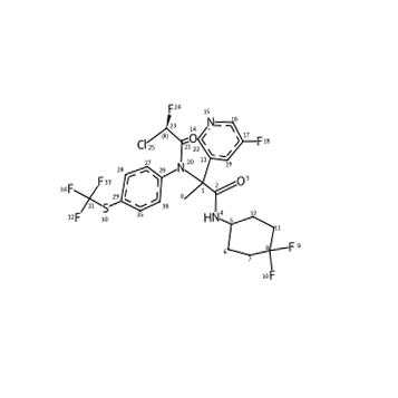 CC(C(=O)NC1CCC(F)(F)CC1)(c1cncc(F)c1)N(C(=O)[C@H](F)Cl)c1ccc(SC(F)(F)F)cc1